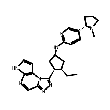 CC[C@@H]1C[C@H](Nc2ccc([C@@H]3CCCN3C)cn2)C[C@@H]1c1nnc2cnc3[nH]ccc3n12